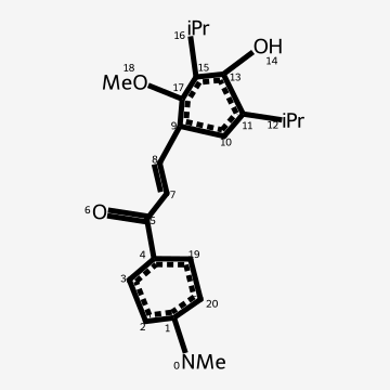 CNc1ccc(C(=O)/C=C/c2cc(C(C)C)c(O)c(C(C)C)c2OC)cc1